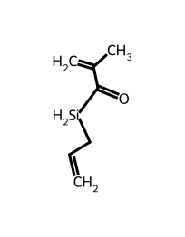 C=CC[SiH2]C(=O)C(=C)C